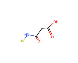 O=C(O)CC(=O)NS